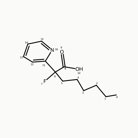 CCCCCCC(F)(C(=O)O)c1ccccn1